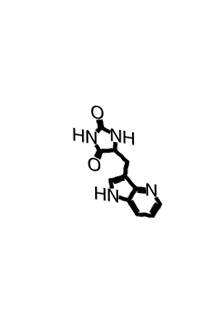 O=C1NC(=O)C(Cc2c[nH]c3cccnc23)N1